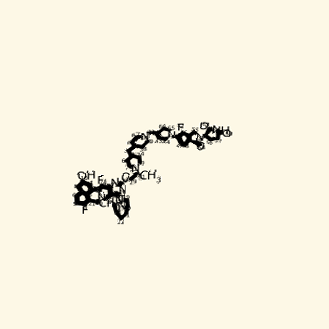 C#Cc1c(F)ccc2cc(O)cc(-c3ncc4c(N5CC6CCC(C5)N6)nc(OC[C@@H](C)N5CCC(CC6CCN(CC7CCN(c8ccc9c(c8F)CN(C8CCC(=O)NC8=O)C9=O)CC7)CC6)CC5)nc4c3F)c12